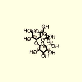 O=P(O)(O)O[C@@H]([C@H](O[C@H]1O[C@H](CO)[C@@H](O)[C@H](O)[C@H]1O)[C@H](O)CO)[C@@H](O)CO